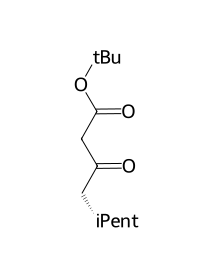 CCC[C@@H](C)CC(=O)CC(=O)OC(C)(C)C